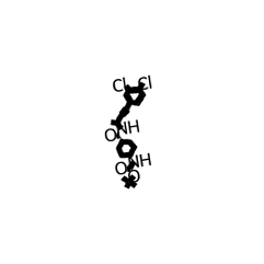 CC(C#Cc1ccc(Cl)c(Cl)c1)NC(=O)[C@H]1CC[C@H](NC(=O)OC(C)(C)C)CC1